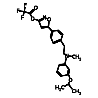 CC(C)Oc1cccc(N(C)CCc2ccc(-c3cc(OC(=O)C(F)(F)F)no3)cc2)c1